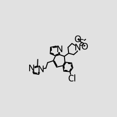 Cc1nccn1CCC1=Cc2cc(Cl)ccc2C(C2CCN(S(C)(=O)=O)CC2)c2ncccc21